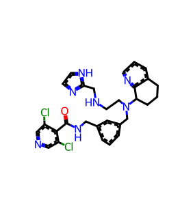 O=C(NCc1cccc(CN(CCNCc2ncc[nH]2)C2CCCc3cccnc32)c1)c1c(Cl)cncc1Cl